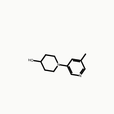 Cc1cncc(N2CCC(O)CC2)c1